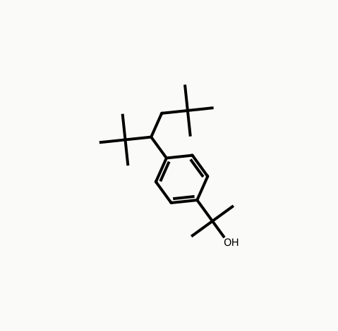 CC(C)(C)CC(c1ccc(C(C)(C)O)cc1)C(C)(C)C